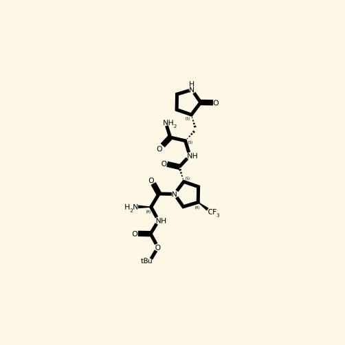 CC(C)(C)OC(=O)N[C@@H](N)C(=O)N1C[C@H](C(F)(F)F)C[C@H]1C(=O)N[C@@H](C[C@@H]1CCNC1=O)C(N)=O